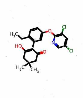 CCc1ccc(Oc2ncc(Cl)cc2Cl)cc1C1=C(O)CC(C)(C)CC1=O